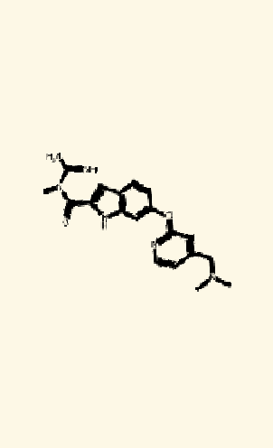 CN(C)Cc1ccnc(Oc2ccc3cc(C(=O)N(C)C(=N)N)[nH]c3c2)c1